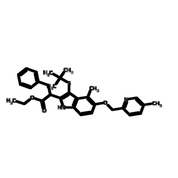 CCOC(=O)C(Cc1ccccc1)c1[nH]c2ccc(OCc3ccc(C)cn3)c(C)c2c1SC(C)(C)C